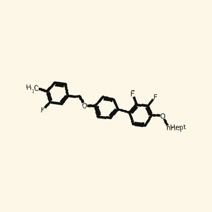 CCCCCCCOc1ccc(-c2ccc(OCc3ccc(C)c(F)c3)cc2)c(F)c1F